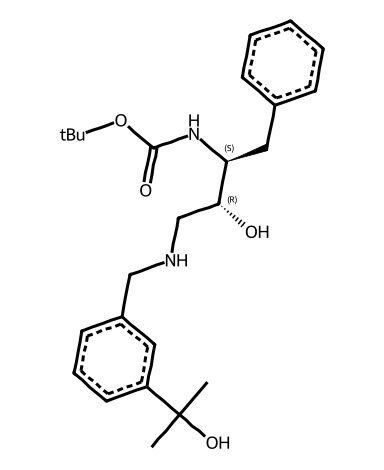 CC(C)(C)OC(=O)N[C@@H](Cc1ccccc1)[C@H](O)CNCc1cccc(C(C)(C)O)c1